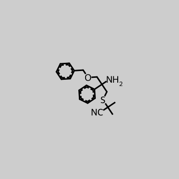 CC(C)(C#N)SCC(N)(COCc1ccccc1)c1ccccc1